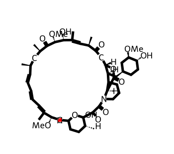 CO[C@H]1C[C@@H]2CC[C@@H](C)[C@@](O)(O2)C(O)C(=O)N2CCCC3[C@H]2C(=O)O[C@@H](CC(=O)[C@H](C)/C=C(\C)[C@@H](O)[C@@H](OC)C(=O)[C@H](C)C[C@H](C)/C=C/C=C/C=C/1C)[C@H]3C[C@@H]1CC[C@@H](O)[C@H](OC)C1